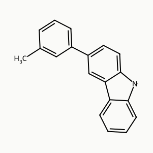 Cc1cccc(-c2ccc3c(c2)-c2ccccc2[N]3)c1